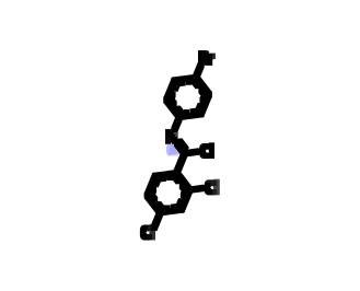 Cl/C(=N\c1ccc(Br)cc1)c1ccc(Cl)cc1Cl